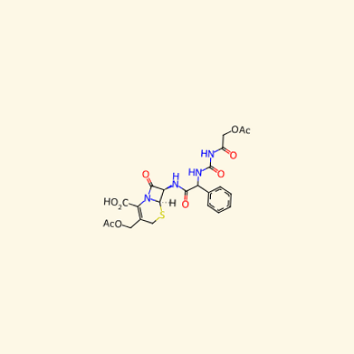 CC(=O)OCC(=O)NC(=O)NC(C(=O)N[C@@H]1C(=O)N2C(C(=O)O)=C(COC(C)=O)CS[C@H]12)c1ccccc1